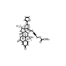 CC(C)COC(=O)OCC#CCSC(=O)[C@@]1(OC(=O)c2ccco2)[C@H](C)C[C@H]2[C@@H]3C[C@H](F)C4=CC(=O)C=C[C@]4(C)[C@@]3(F)[C@@H](O)C[C@@]21C